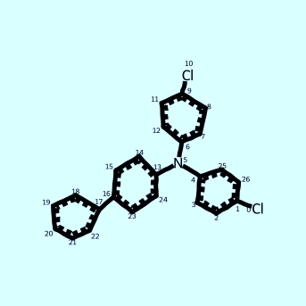 Clc1ccc(N(c2ccc(Cl)cc2)c2ccc(-c3ccccc3)cc2)cc1